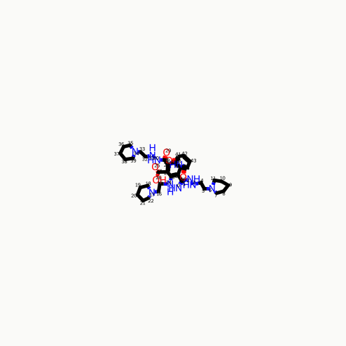 N=C(NNCCN1CCCCC1)c1c(NCCN2CCCCC2)c(C(=O)O)c(C(=O)NNCCN2CCCCC2)c2c3ccc(c(=O)[nH]c3=O)c12